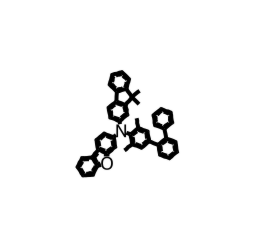 Cc1cc(-c2ccccc2-c2ccccc2)cc(C)c1N(c1ccc2c(c1)C(C)(C)c1ccccc1-2)c1ccc2c(c1)oc1ccccc12